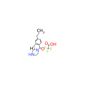 CCCc1ccc2c(c1)C[C@@H]1CNCCN1C2=O.O=C(O)C(F)(F)F